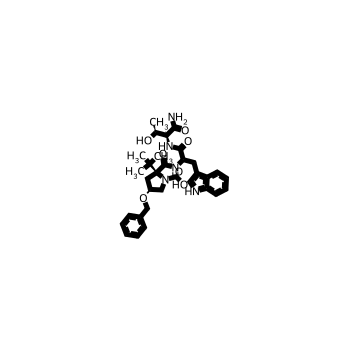 C[C@@H](O)[C@H](NC(=O)C(Cc1c[nH]c2ccccc12)NC(=O)[C@@]1(C(C)(C)C)C[C@@H](OCc2ccccc2)CN1C(=O)O)C(N)=O